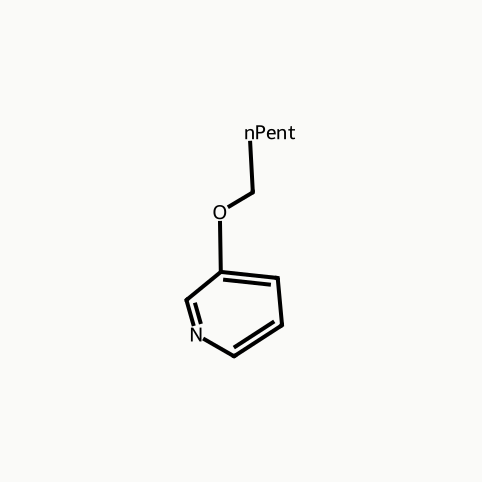 CCCCCCOc1cccnc1